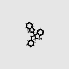 O=C1Nc2ccccc2C1(Cc1ccccc1)c1cc2ccccc2[nH]1